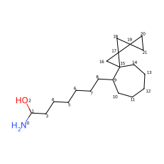 NC(O)CCCCCCC1CCCCCC12CC21CC12CC2